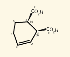 O=C(O)[C@H]1C=CCC[C@H]1C(=O)O